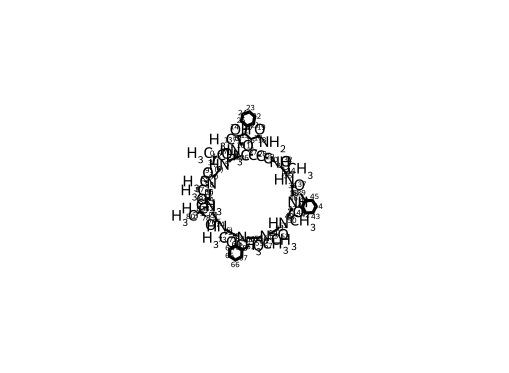 CC(C)C[C@@H]1NC(=O)[C@@H](NC(=O)[C@@](C)(O)C(CC(N)=O)c2ccccc2)CCCCNC(=O)[C@H](C)NC(=O)[C@H](Cc2ccccc2)NC(=O)[C@H](C)NC(=O)[C@H](C)N(C)C(=O)[C@H](Cc2ccccc2)N(C)C(=O)[C@H](C)NC(=O)[C@H](CC(C)C)N(C)C(=O)[C@H](C)N(C)C1=O